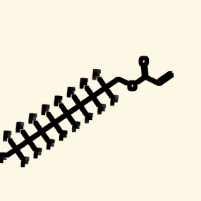 C=CC(=O)OCC(F)(F)C(F)(F)C(F)(F)C(F)(F)C(F)(F)C(F)(F)C(F)(F)C(F)(F)F